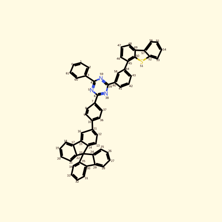 c1ccc(-c2nc(-c3ccc(-c4ccc5c(c4)-c4ccccc4C54c5ccccc5-c5ccccc54)cc3)nc(-c3cccc(-c4cccc5c4sc4ccccc45)c3)n2)cc1